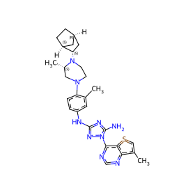 Cc1cc(Nc2nc(N)n(-c3ncnc4c(C)csc34)n2)ccc1N1CCN([C@H]2C[C@@H]3CC[C@H]2C3)[C@@H](C)C1